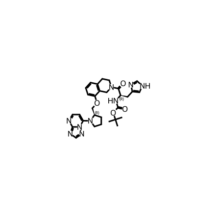 CC(C)(C)OC(=O)N[C@H](Cc1c[nH]cn1)C(=O)N1CCc2cccc(OC[C@H]3CCCN3c3ccnc4ncnn34)c2C1